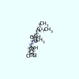 CCCCN(CCCC)CCCNC(=O)/C(=C/C=C/c1cc2cc(Cl)c(Cl)cc2[nH]1)OC